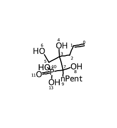 C=CCC(O)(CO)C(O)(CCCCC)P(=O)(O)O